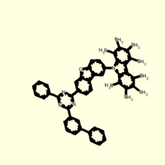 Bc1c(B)c(B)c2c(c1B)c1c(B)c(B)c(B)c(B)c1n2-c1ccc2oc3cc(-c4nc(-c5ccccc5)nc(-c5cccc(-c6ccccc6)c5)n4)ccc3c2c1